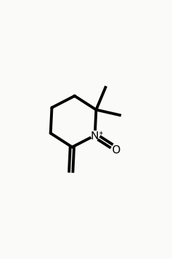 C=C1CCCC(C)(C)[N+]1=O